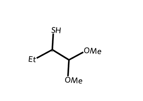 CC[C](S)C(OC)OC